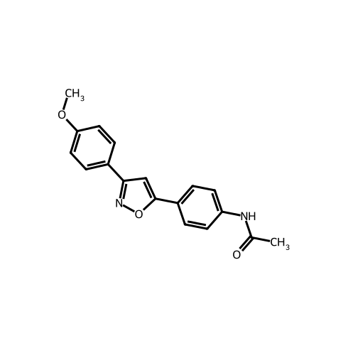 COc1ccc(-c2cc(-c3ccc(NC(C)=O)cc3)on2)cc1